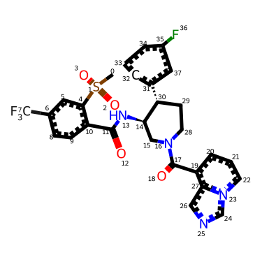 CS(=O)(=O)c1cc(C(F)(F)F)ccc1C(=O)N[C@@H]1CN(C(=O)c2cccn3cncc23)CC[C@H]1c1cccc(F)c1